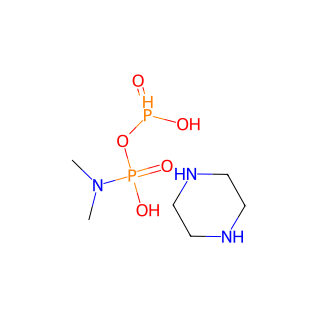 C1CNCCN1.CN(C)P(=O)(O)O[PH](=O)O